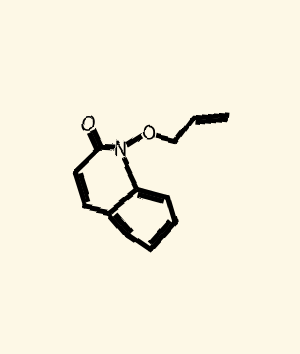 C=CCOn1c(=O)ccc2ccccc21